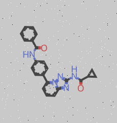 O=C(Nc1ccc(-c2cccc3nc(NC(=O)C4CC4)nn23)cc1)c1ccccc1